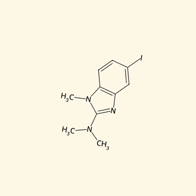 CN(C)c1nc2cc(I)ccc2n1C